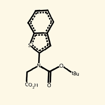 CC(C)(C)OC(=O)N(CC(=O)O)c1cc2ccccc2s1